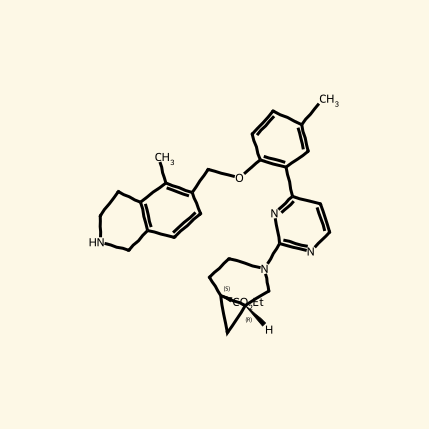 CCOC(=O)[C@@]12CCN(c3nccc(-c4cc(C)ccc4OCc4ccc5c(c4C)CCNC5)n3)C[C@@H]1C2